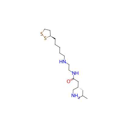 CC(C)C[C@H](CN)CC(=O)NCCNCCCCC[C@@H]1CCSS1